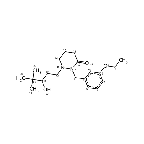 CCOc1cccc(CN2C(=O)CCCN2CCC(O)C(C)(C)C)c1